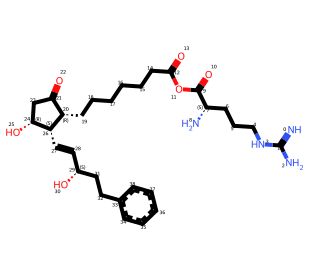 N=C(N)NCCC[C@H](N)C(=O)OC(=O)CCCCCC[C@H]1C(=O)C[C@@H](O)[C@H]1C=C[C@@H](O)CCc1ccccc1